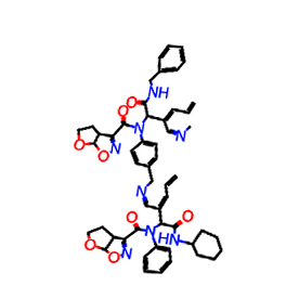 C=C/C=C(\C=N/C)C(C(=O)NCc1ccccc1)N(C(=O)C1=NOC2OCCC12)c1ccc(C/N=C\C(=C/C=C)C(C(=O)NC2CCCCC2)N(C(=O)C2=NOC3OCCC23)c2ccccc2)cc1